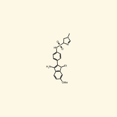 CCn1c(-c2ccc(NS(=O)(=O)C3CN(C)C=N3)cc2)c(N)c2ccc(OC)cc21